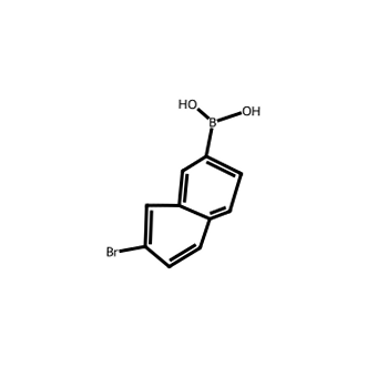 OB(O)c1ccc2ccc(Br)cc2c1